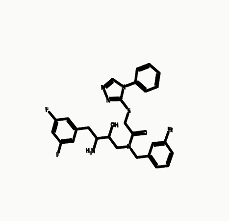 CCc1cccc(CN(CC(O)C(N)Cc2cc(F)cc(F)c2)C(=O)CSc2nncn2-c2ccccc2)c1